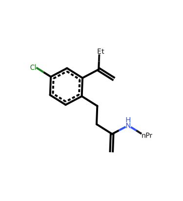 C=C(CCc1ccc(Cl)cc1C(=C)CC)NCCC